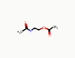 CC(=O)[N]CCOC(C)=O